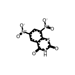 O=c1[nH]c(=O)c2cc([N+](=O)[O-])cc([N+](=O)[O-])c2s1